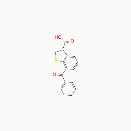 O=C(c1ccccc1)c1cccc2c1SCC2C(=O)O